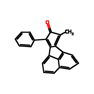 CC1=C2C(=C(c3ccccc3)C1=O)c1cccc3cccc2c13